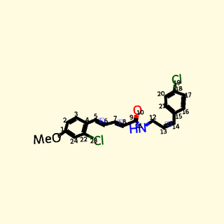 COc1ccc(/C=C/C=C/C(=O)NC/C=C\c2ccc(Cl)cc2)c(Cl)c1